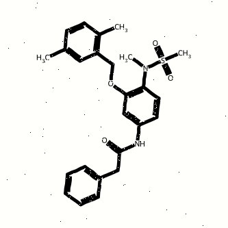 Cc1ccc(C)c(COc2cc(NC(=O)Cc3ccccc3)ccc2N(C)S(C)(=O)=O)c1